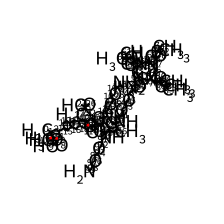 CC(CC(CC(C)C(=O)O)c1ccc2c(c1)Cc1ccc(C(CC(C)C(=O)O)CC(CC(CC(CC(C)C(=O)NCCOCCOCCNC(=O)CN3CCN(CC(=O)OC(C)(C)C)CCN(CC(=O)OC(C)(C)C)CCN(CC(=O)OC(C)(C)C)CC3)C(=O)NCCOCCOCCN)C(=O)NCCOCCOCCN)C(=O)O)cc1C2)C(=O)O